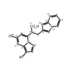 CC(C)c1cnn2c(N(Cc3cn4cccnc4n3)C(=O)O)cc(Cl)nc12